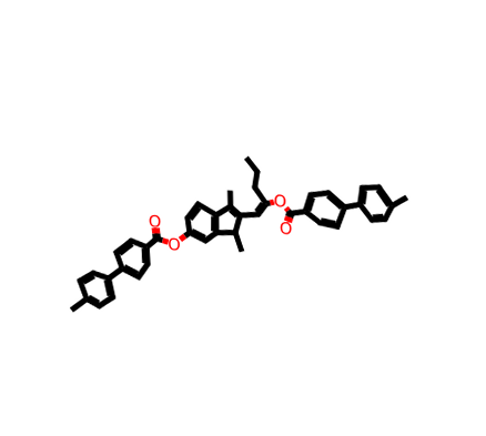 CCC/C(=C\C1=C(C)c2ccc(OC(=O)c3ccc(-c4ccc(C)cc4)cc3)cc2C1C)OC(=O)c1ccc(-c2ccc(C)cc2)cc1